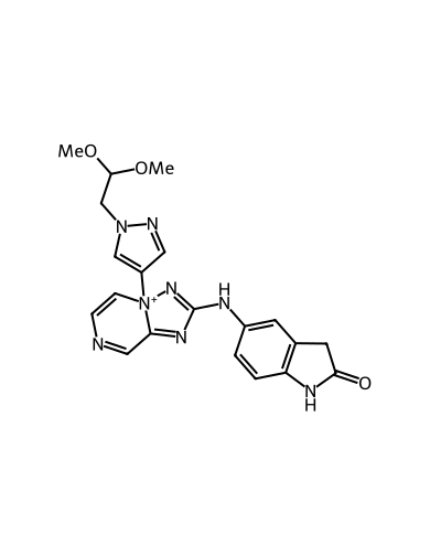 COC(Cn1cc([N+]23C=CN=CC2=NC(Nc2ccc4c(c2)CC(=O)N4)=N3)cn1)OC